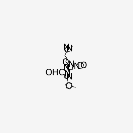 Cc1cccc(-c2cc(C=O)n(-c3cc(N4CCOCC4)nc(OCCc4cnn(C)c4)n3)n2)c1